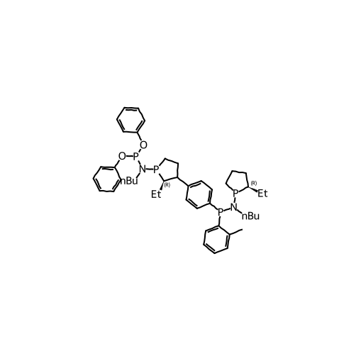 CCCCN(P(Oc1ccccc1)Oc1ccccc1)P1CCC(c2ccc(P(c3ccccc3C)N(CCCC)P3CCC[C@H]3CC)cc2)[C@H]1CC